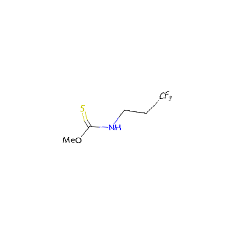 COC(=S)NCCC(F)(F)F